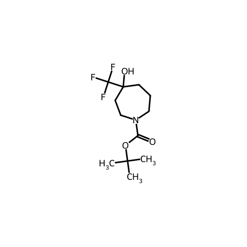 CC(C)(C)OC(=O)N1CCCC(O)(C(F)(F)F)CC1